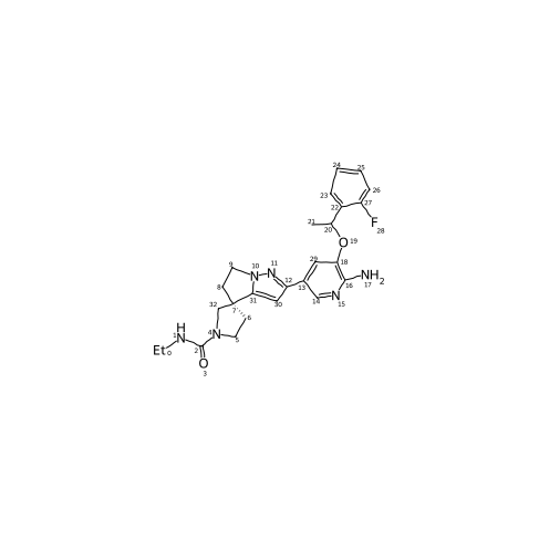 CCNC(=O)N1CC[C@@]2(CCn3nc(-c4cnc(N)c(OC(C)c5ccccc5F)c4)cc32)C1